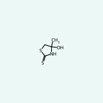 CC1(O)CSC(=S)N1